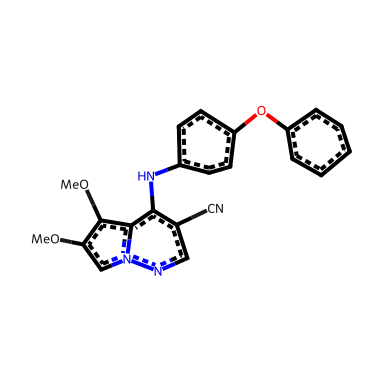 COc1cn2ncc(C#N)c(Nc3ccc(Oc4ccccc4)cc3)c2c1OC